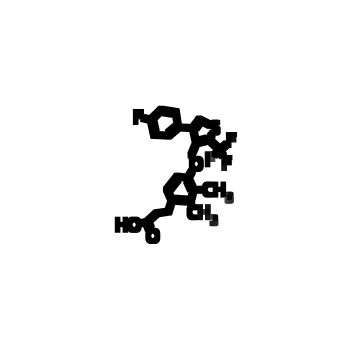 Cc1c(CCC(=O)O)ccc(OCc2c(-c3ccc(F)cc3)csc2C(F)(F)F)c1C